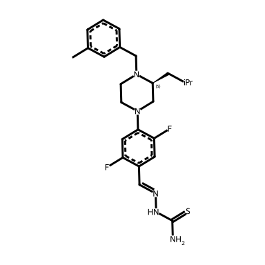 Cc1cccc(CN2CCN(c3cc(F)c(C=NNC(N)=S)cc3F)C[C@@H]2CC(C)C)c1